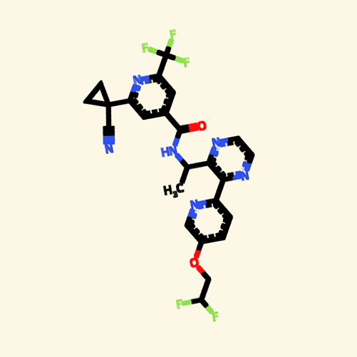 CC(NC(=O)c1cc(C(F)(F)F)nc(C2(C#N)CC2)c1)c1nccnc1-c1ccc(OCC(F)F)cn1